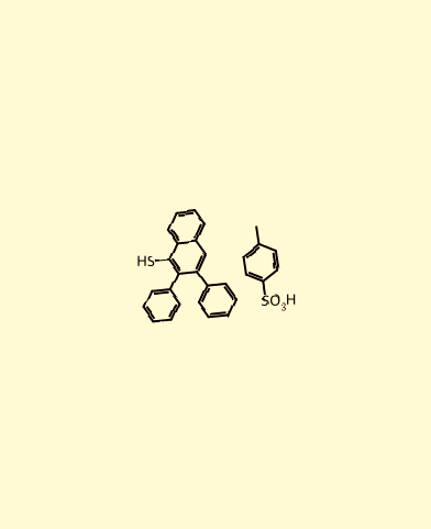 Cc1ccc(S(=O)(=O)O)cc1.Sc1c(-c2ccccc2)c(-c2ccccc2)cc2ccccc12